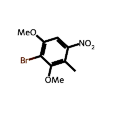 COc1cc([N+](=O)[O-])c(C)c(OC)c1Br